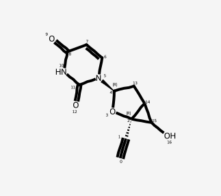 C#C[C@]12O[C@@H](n3ccc(=O)[nH]c3=O)CC1C2O